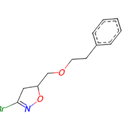 BrC1=NOC(COCCc2ccccc2)C1